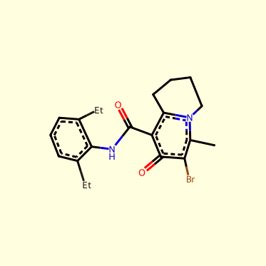 CCc1cccc(CC)c1NC(=O)c1c2n(c(C)c(Br)c1=O)CCCC2